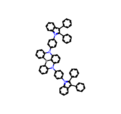 c1ccc(-c2c(-c3ccccc3)n(-c3ccc(N4c5ccccc5B5c6ccccc6N(c6ccc(-n7c(-c8ccccc8)c(-c8ccccc8)c8ccccc87)cc6)c6cccc4c65)cc3)c3ccccc23)cc1